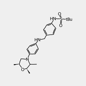 CC1[C@@H](C)O[C@@H](C)CN1c1ccc(NCc2ccc(NS(=O)(=O)C(C)(C)C)cc2)cc1